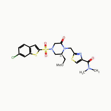 COC[C@H]1CN(S(=O)(=O)c2cc3ccc(Cl)cc3s2)CC(=O)N1Cc1nc(C(=O)N(C)C)cs1